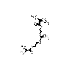 C=C(C)C(=O)SCCOC(C)OCCSC(=O)C(=C)C